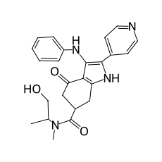 CC(CO)N(C)C(=O)C1CC(=O)c2c([nH]c(-c3ccncc3)c2Nc2ccccc2)C1